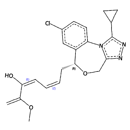 C=C(OC)/C(O)=C\C=C/C[C@H]1OCc2nnc(C3CC3)n2-c2ccc(Cl)cc21